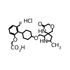 C[C@@H]1CC2(COCC(=O)N2)C(COC2CCC(c3c(F)cccc3OCC(=O)O)CC2)N1.Cl